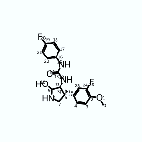 COc1ccc([C@@H]2CNC(O)[C@H]2NC(=O)Nc2ccc(F)cc2)cc1F